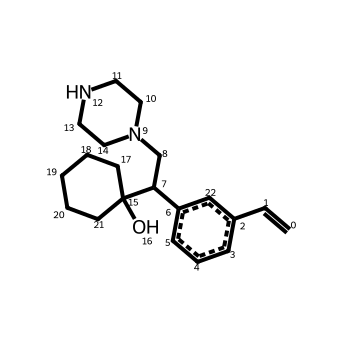 C=Cc1cccc(C(CN2CCNCC2)C2(O)CCCCC2)c1